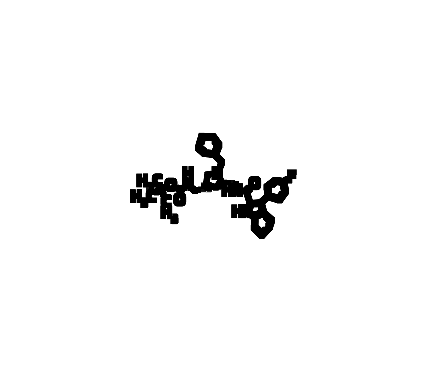 CC(C)(C)OC(=O)NC[C@H]1C[C@@H](CNC(=O)c2[nH]c3ccccc3c2-c2ccc(F)cc2)N(Cc2ccccc2)C1